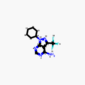 Nc1ncnc2c1c(C(F)(F)F)nn2C1CCCCC1